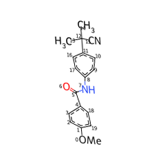 COc1ccc(C(=O)Nc2ccc(C(C)(C)C#N)cc2)cc1